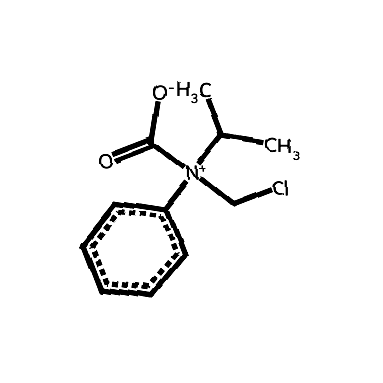 CC(C)[N+](CCl)(C(=O)[O-])c1ccccc1